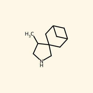 CC1CNCC12CC1CC(C1)C2